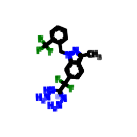 Cc1nn(Cc2ccccc2C(F)(F)F)c2cc(C(F)(F)/C(=N/N)NN)ccc12